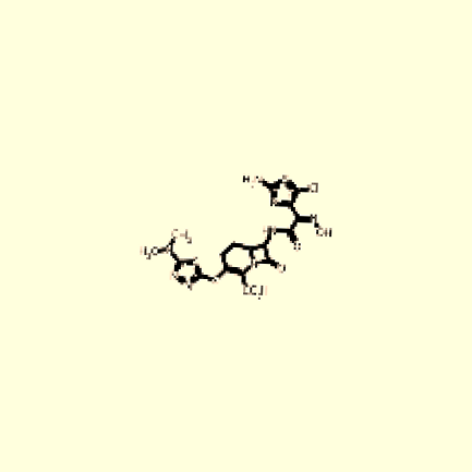 CN(C)c1nnc(SC2=C(C(=O)O)N3C(=O)C(NC(=O)/C(=N\O)c4nc(N)sc4Cl)C3CC2)s1